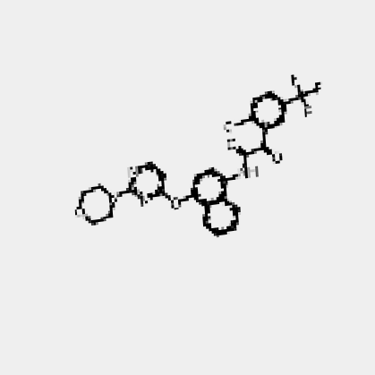 O=C(Nc1ccc(Oc2ccnc(N3CCOCC3)n2)c2ccccc12)C(=O)c1cc(C(F)(F)F)ccc1Cl